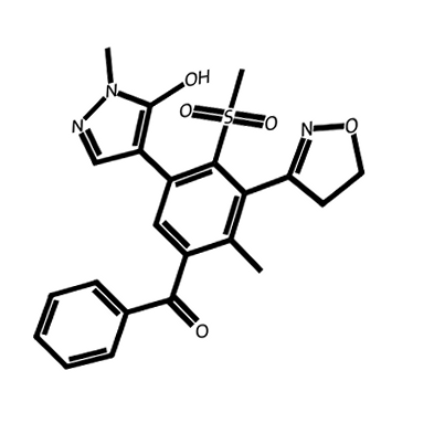 Cc1c(C(=O)c2ccccc2)cc(-c2cnn(C)c2O)c(S(C)(=O)=O)c1C1=NOCC1